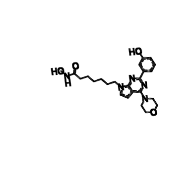 O=C(CCCCCCn1ccc2c(N3CCOCC3)nc(-c3cccc(O)c3)nc21)NO